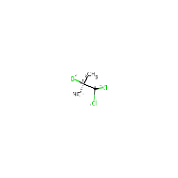 C[C@@](Cl)(C#N)C(Cl)Cl